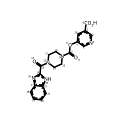 O=C(O)c1cncc(OC(=O)N2CCN(C(=O)c3nc4ccccc4[nH]3)CC2)c1